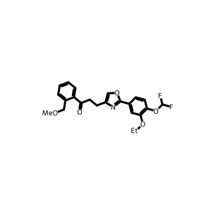 CCOc1cc(-c2nc(CCC(=O)c3ccccc3COC)co2)ccc1OC(F)F